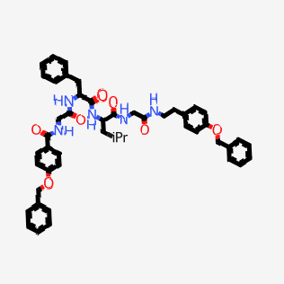 CC(C)CC(NC(=O)C(Cc1ccccc1)NC(=O)CNC(=O)c1ccc(OCc2ccccc2)cc1)C(=O)NCC(=O)NCCc1ccc(OCc2ccccc2)cc1